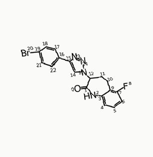 O=C1Nc2cccc(F)c2CCC1n1cc(-c2ccc(Br)cc2)nn1